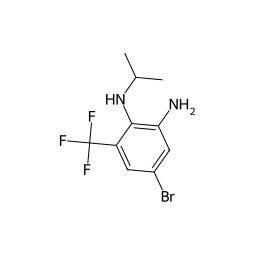 CC(C)Nc1c(N)cc(Br)cc1C(F)(F)F